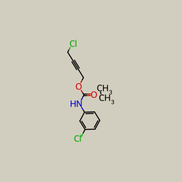 CC.O=C(Nc1cccc(Cl)c1)OCC#CCCl